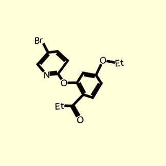 CCOc1ccc(C(=O)CC)c(Oc2ccc(Br)cn2)c1